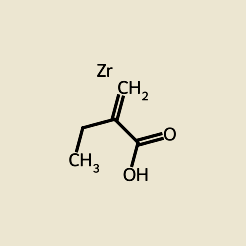 C=C(CC)C(=O)O.[Zr]